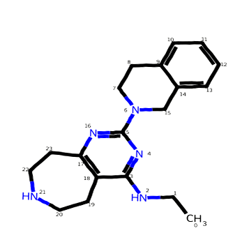 CCNc1nc(N2CCc3ccccc3C2)nc2c1CCNCC2